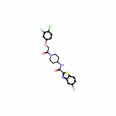 O=C(NC1CCN(C(=O)COc2ccc(Cl)c(F)c2)CC1)c1nc2cc(Cl)ccc2s1